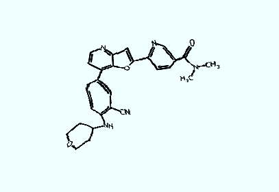 CN(C)C(=O)c1ccc(-c2cc3nccc(-c4ccc(NC5CCOCC5)c(C#N)c4)c3o2)nc1